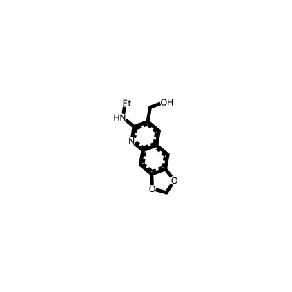 CCNc1nc2cc3c(cc2cc1CO)OCO3